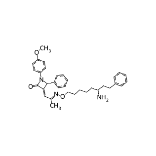 COc1ccc(N2C(=O)/C(=C/C(C)=NOCCCCCC(N)CCc3ccccc3)C2c2ccccc2)cc1